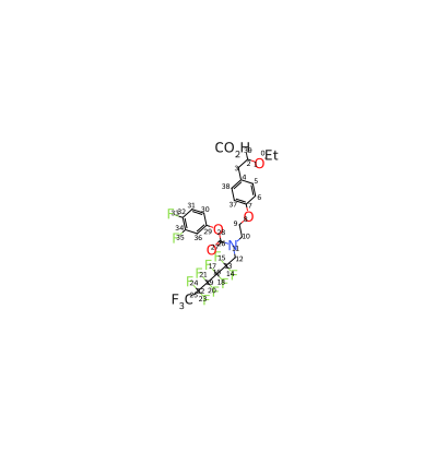 CCOC(Cc1ccc(OCCN(CC(F)(F)C(F)(F)C(F)(F)C(F)(F)C(F)(F)F)C(=O)Oc2ccc(F)c(F)c2)cc1)C(=O)O